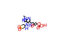 CCn1ncc2c(NC3CCS(=O)(=O)CC3)c(C3=NOC4(C3)CC(OC(=O)O)C4)cnc21